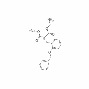 CC(C)(C)OC(=O)[C@@H](Cc1ccccc1OCc1ccccc1)C(=O)OCN